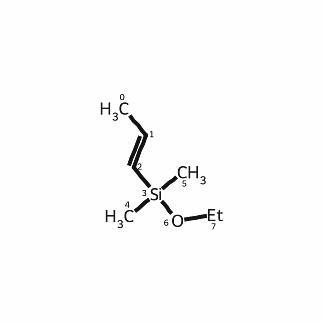 CC=C[Si](C)(C)OCC